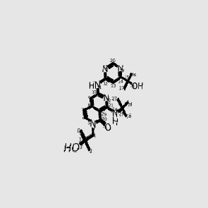 CC(C)(O)Cn1ccc2cc(Nc3cc(C(C)(C)O)ncn3)nc(NC(C)(C)C)c2c1=O